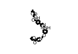 CC(C)(C)OC(=O)CNC(=O)c1ccc(-c2cnc(Nc3ccc(OCCN4CCN(C(=O)c5ccco5)CC4)cc3)nc2)cc1